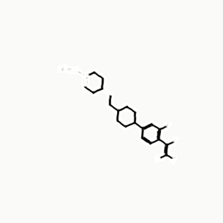 CCCCC[Si@H]1CC[C@H](CCC2CCC(c3ccc(C(F)=C(F)F)c(F)c3)CC2)CC1